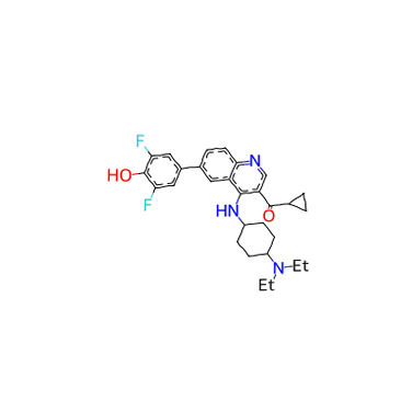 CCN(CC)C1CCC(Nc2c(C(=O)C3CC3)cnc3ccc(-c4cc(F)c(O)c(F)c4)cc23)CC1